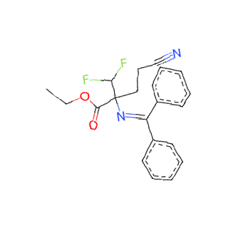 CCOC(=O)C(CCC#N)(N=C(c1ccccc1)c1ccccc1)C(F)F